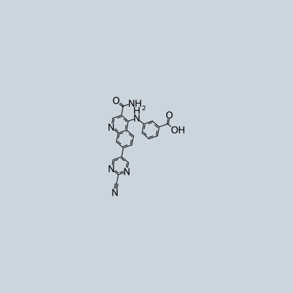 N#Cc1ncc(-c2ccc3c(Nc4cccc(C(=O)O)c4)c(C(N)=O)cnc3c2)cn1